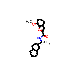 COc1cccc2cc(C(=O)N[C@@H](C)c3ccc4ccccc4c3)oc12